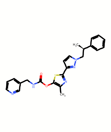 Cc1nc(-c2ccn(C[C@@H](C)c3ccccc3)n2)sc1OC(=O)NCc1cccnc1